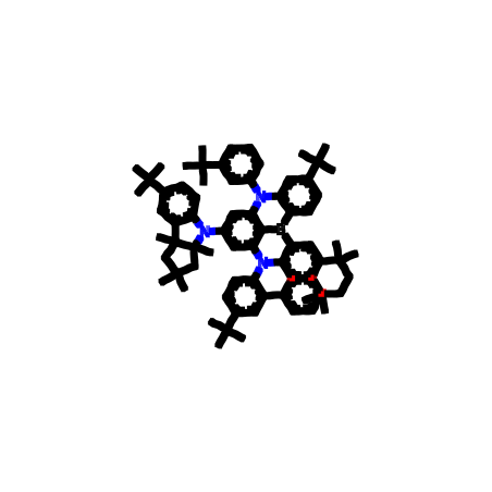 CC1(C)CC2(C)c3cc(C(C)(C)C)ccc3N(c3cc4c5c(c3)N(c3ccc(C(C)(C)C)cc3-c3ccccc3)c3cc6c(cc3B5c3ccc(C(C)(C)C)cc3N4c3cccc(C(C)(C)C)c3)C(C)(C)CCC6(C)C)C2(C)C1